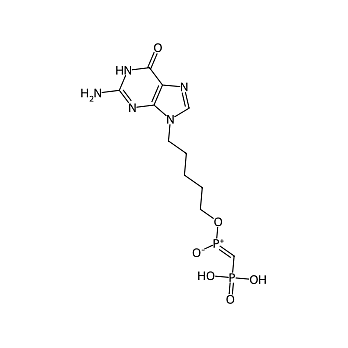 Nc1nc2c(ncn2CCCCCO/[P+]([O-])=C/P(=O)(O)O)c(=O)[nH]1